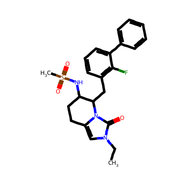 CCn1cc2n(c1=O)C(Cc1cccc(-c3ccccc3)c1F)C(NS(C)(=O)=O)CC2